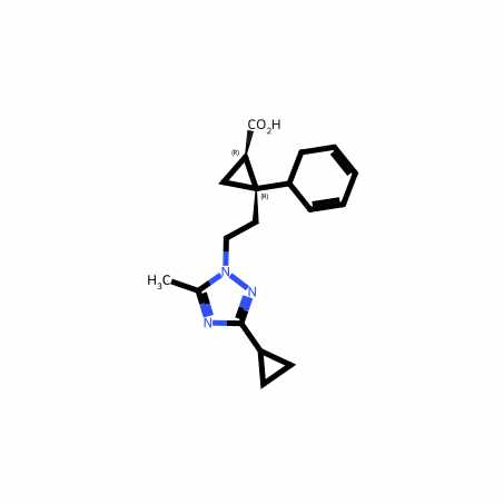 Cc1nc(C2CC2)nn1CC[C@@]1(C2C=CC=CC2)C[C@H]1C(=O)O